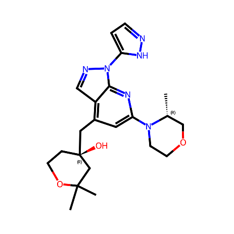 C[C@@H]1COCCN1c1cc(C[C@@]2(O)CCOC(C)(C)C2)c2cnn(-c3ccn[nH]3)c2n1